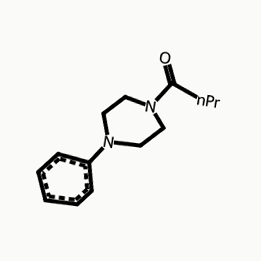 [CH2]CCC(=O)N1CCN(c2ccccc2)CC1